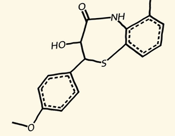 COc1ccc(C2Sc3cccc(C)c3NC(=O)C2O)cc1